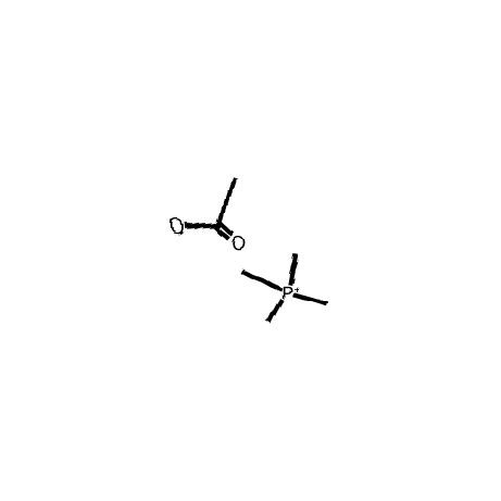 CC(=O)[O-].C[P+](C)(C)C